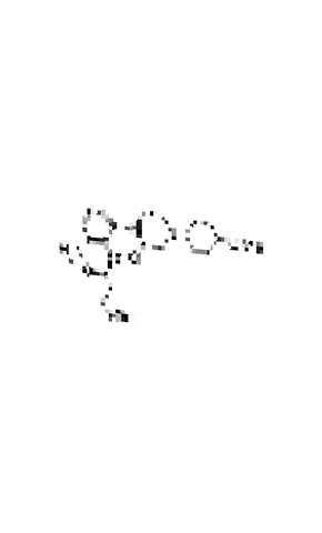 COC1CCC(N2CCN(c3cccc(N)c3OC(=O)CCC(C)(C)C)C(=O)C2)CC1